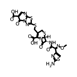 CON=C(C(=O)N[C@@H]1C(=O)N2C(C(=O)O)=C(CSc3nn4c(=O)c(C(=O)O)cnc4s3)CS[C@H]12)c1csc(N)n1